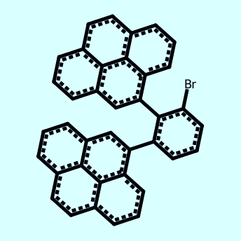 Brc1cccc(-c2cc3cccc4ccc5cccc2c5c43)c1-c1cc2cccc3ccc4cccc1c4c32